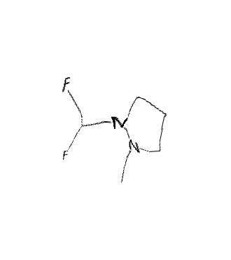 CN1CCCN1C(F)F